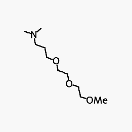 COCCOCCOCCCN(C)C